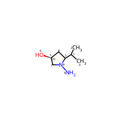 CC(C)C1C[C@H](O)CN1N